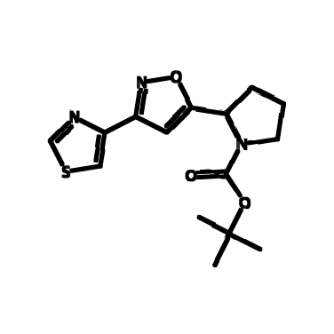 CC(C)(C)OC(=O)N1CCCC1c1cc(-c2cscn2)no1